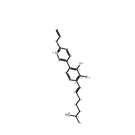 C=CCc1ccc(-c2ccc(C=CCCCC(C)O)c(F)c2F)cn1